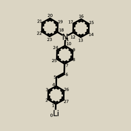 [Li][c]1ccc(C=Cc2ccc(N(c3ccccc3)c3ccccc3)cc2)cc1